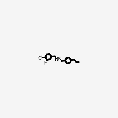 CCCc1ccc(C=NN=Cc2ccc(Cl)c(F)c2)cc1